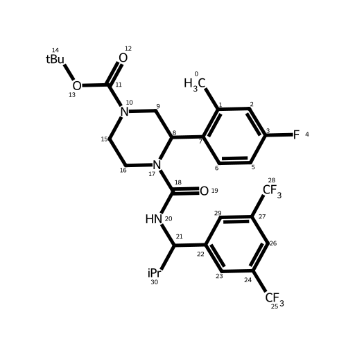 Cc1cc(F)ccc1C1CN(C(=O)OC(C)(C)C)CCN1C(=O)NC(c1cc(C(F)(F)F)cc(C(F)(F)F)c1)C(C)C